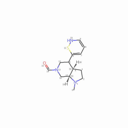 CN1CC[C@H]2C(C3=CC=CNS3)CN(C=O)C[C@H]21